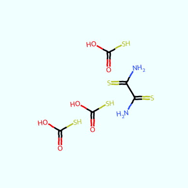 NC(=S)C(N)=S.O=C(O)S.O=C(O)S.O=C(O)S